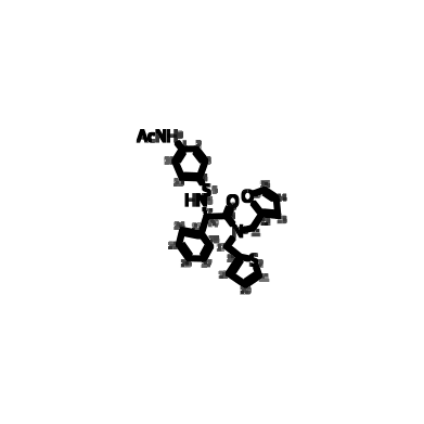 CC(=O)Nc1ccc(SN[C@H](C(=O)N(Cc2ccco2)Cc2cccs2)c2ccccc2)cc1